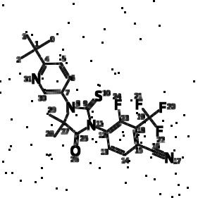 CC(C)(C)c1ccc(N2C(=S)N(c3ccc(C#N)c(C(F)(F)F)c3F)C(=O)C2(C)C)cn1